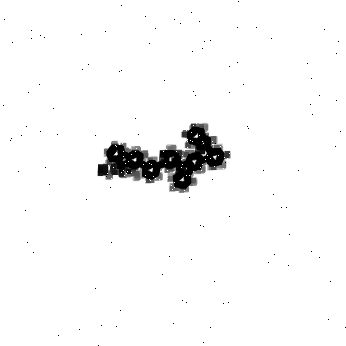 CC1(C)c2ccccc2-c2ccc(-c3cccc(-c4cc(-n5c6ccccc6c6cc7c8ccccc8c8cc9ccccc9n8c7cc65)ncn4)c3)cc21